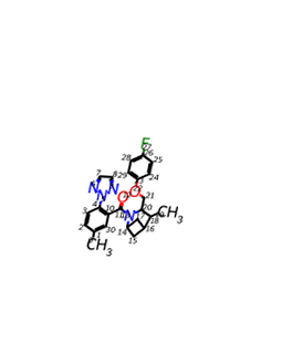 Cc1ccc(-n2nccn2)c(C(=O)N2C3CC(C3)C(C)C2COc2ccc(F)cc2)c1